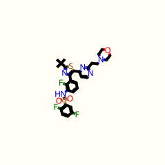 CC(C)(C)c1nc(-c2cccc(NS(=O)(=O)c3cc(F)ccc3F)c2F)c(-c2ccnc(CCN3CCOCC3)n2)s1